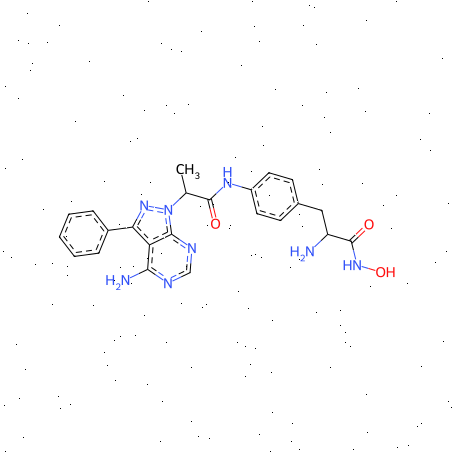 CC(C(=O)Nc1ccc(CC(N)C(=O)NO)cc1)n1nc(-c2ccccc2)c2c(N)ncnc21